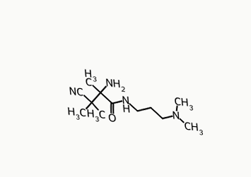 CN(C)CCCNC(=O)C(C)(N)C(C)(C)C#N